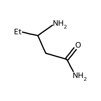 [CH2]CC(N)CC(N)=O